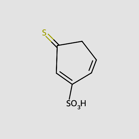 O=S(=O)(O)C1=CC(=S)CC=C1